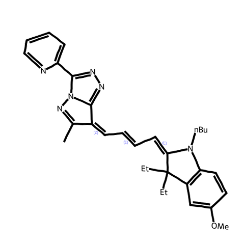 CCCCN1/C(=C/C=C/C=c2/c(C)nn3c(-c4ccccn4)nnc23)C(CC)(CC)c2cc(OC)ccc21